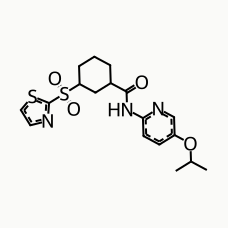 CC(C)Oc1ccc(NC(=O)C2CCCC(S(=O)(=O)c3nccs3)C2)nc1